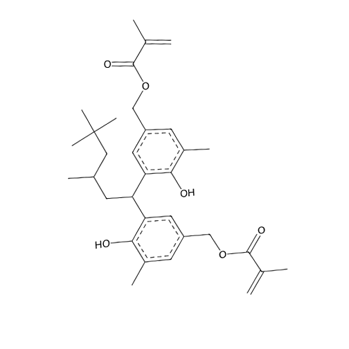 C=C(C)C(=O)OCc1cc(C)c(O)c(C(CC(C)CC(C)(C)C)c2cc(COC(=O)C(=C)C)cc(C)c2O)c1